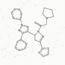 O=C(CN1CCCC1)N1N=C(c2ccco2)CC1c1cn(-c2ccccc2)nc1-c1ccccc1